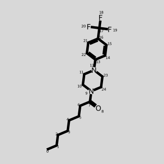 CCCCCCCC(=O)N1CCN(c2ccc(C(F)(F)F)cc2)CC1